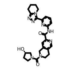 O=C(Nc1cccc(-c2nnc3n2CCCC3)n1)c1cc2c(cn1)CCN(C(=O)N1CC[C@@H](O)C1)C2